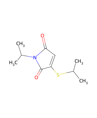 CC(C)SC1=CC(=O)N(C(C)C)C1=O